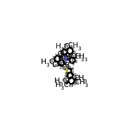 Cc1ccc2c(c1)N(C1=C3C(=CCC1)C(C)(C)CCC3(C)C)c1c(ccc3c1C(C)(C)CCC3(C)C)B2c1cc2cc3c(cc2s1)C(C)(C)CCC3(C)C